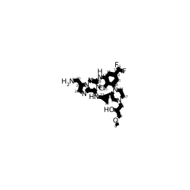 COCC(O)CN1CCN(c2cc(C(F)F)cc(Nc3nc(NC4CC4)c4ncc(CN)n4n3)c2Cl)CC1